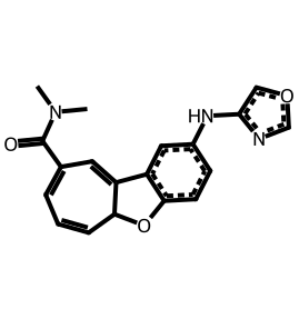 CN(C)C(=O)C1=CC=CC2Oc3ccc(Nc4cocn4)cc3C2=C1